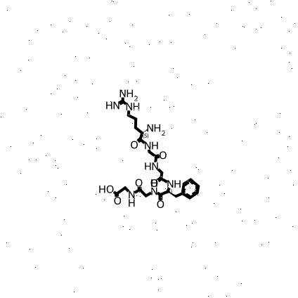 N=C(N)NCCC[C@H](N)C(=O)NCC(=O)NCC(=O)N[C@@H](Cc1ccccc1)C(=O)NCC(=O)NCC(=O)O